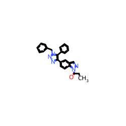 CCC(=O)n1ncc2cc(-c3nnn(Cc4ccccc4)c3-c3ccccc3)ccc21